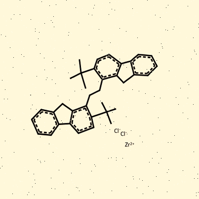 CC(C)(C)c1ccc2c(c1CCc1c(C(C)(C)C)ccc3c1Cc1ccccc1-3)Cc1ccccc1-2.[Cl-].[Cl-].[Zr+2]